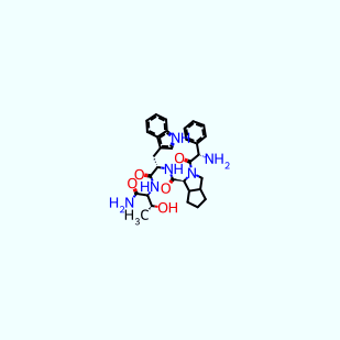 C[C@@H](O)[C@H](NC(=O)[C@H](Cc1c[nH]c2ccccc12)NC(=O)[C@@H]1C2CCCC2CN1C(=O)[C@@H](N)c1ccccc1)C(N)=O